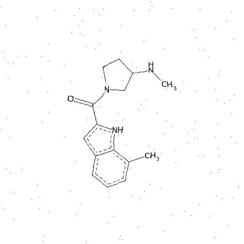 CNC1CCN(C(=O)c2cc3cccc(C)c3[nH]2)C1